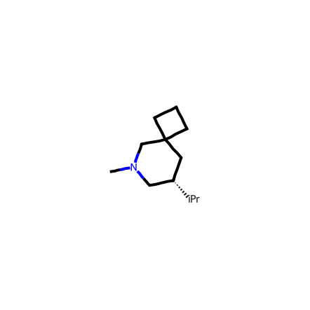 CC(C)[C@@H]1CN(C)CC2(CCC2)C1